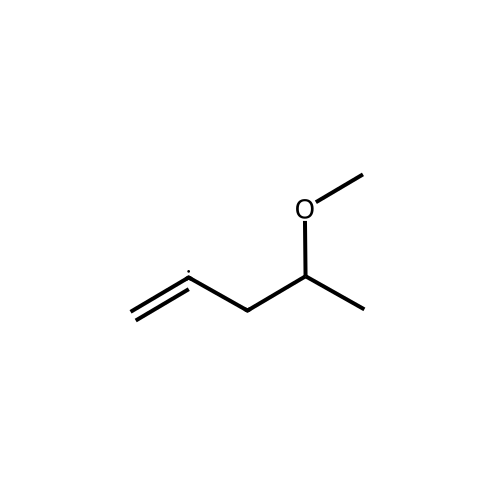 C=[C]CC(C)OC